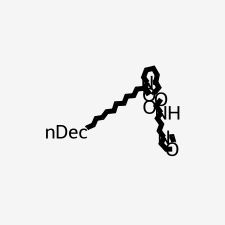 CCCCCCCCCCCCCCCCCCCCCC(=O)N1CCCCC1CCOC(=O)NCCCN1CCOCC1